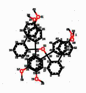 COc1ccc(-c2ccccc2C(OC(c2ccc(OC)cc2)(c2ccc(OC)cc2)c2ccccc2-c2ccc(OC)cc2)(c2ccc(OC)cc2)c2ccc(OC)cc2)cc1